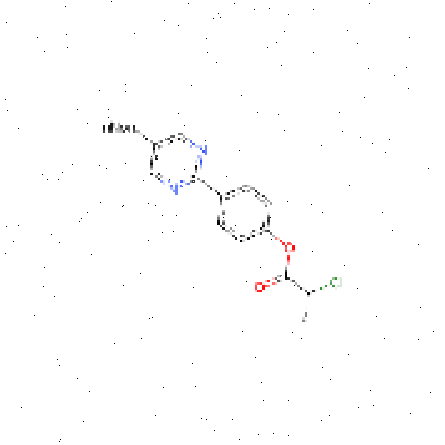 CCCCCCCCCc1cnc(-c2ccc(OC(=O)[C@@H](C)Cl)cc2)nc1